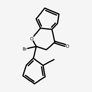 Cc1ccccc1C1(Br)CC(=O)c2ccccc2O1